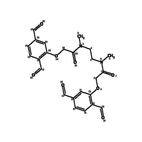 CN(CCN(C)C(=O)COc1cc(C=O)ccc1C=O)C(=O)COc1cc(C=O)ccc1C=O